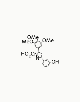 COc1cc(C2CC(c3cccc(O)c3)=NN2C(=O)O)cc(OC)c1OC